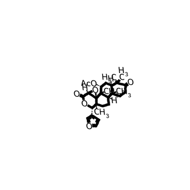 CC(=O)O[C@@H]1C[C@H]2C(C)(C)C(=O)CC[C@]2(C)[C@H]2CC[C@@]3(C)[C@H](c4ccoc4)OC(=O)[C@H]4O[C@]43[C@@]21C